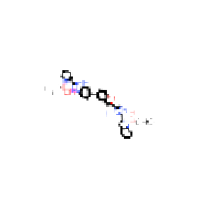 CB(O)N1C2CCC(C2)[C@H]1c1nc2ccc(-c3ccc4oc(-c5cnc([C@@H]6CC7CCCCC7N6BC=O)[nH]5)cc4c3)cc2[nH]1